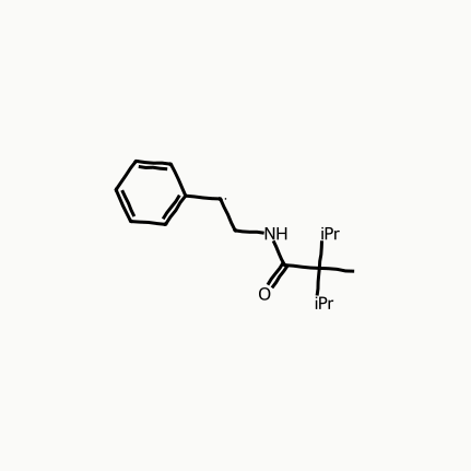 CC(C)C(C)(C(=O)NC[CH]c1ccccc1)C(C)C